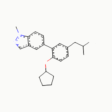 CC(Cc1ccc(OC2CCCC2)c(-c2ccc3c(cnn3C)c2)c1)C(=O)O